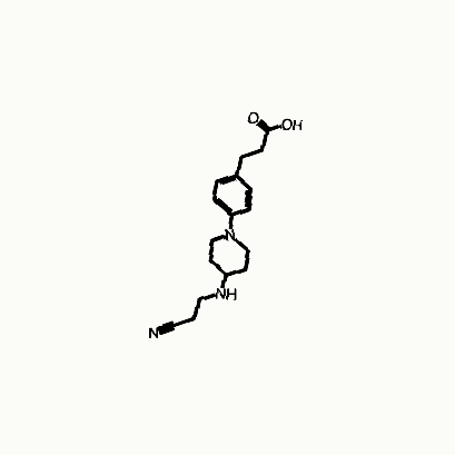 N#CCCNC1CCN(c2ccc(CCC(=O)O)cc2)CC1